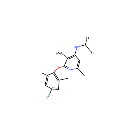 CCC(CC)Nc1cc(C)nc(Oc2c(C)cc(Cl)cc2C)c1OC